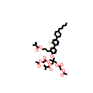 C=C(C)C(=O)OCCCc1cc(-c2ccc(C3CCC(CCCCC)CC3)cc2F)ccc1OCC(COC(=O)COC(C)=O)(COC(=O)COC(C)=O)COC(=O)C(=C)C